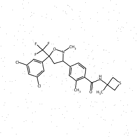 Cc1cc(C2CC(c3cc(Cl)cc(Cl)c3)(C(F)(F)F)ON2C)ccc1C(=O)NC1(C)CSC1